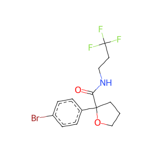 O=C(NCCC(F)(F)F)C1(c2ccc(Br)cc2)CCCO1